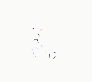 Cc1cccc(COc2nc(NC3CC3)n3ncc(/C=C4\NC(=O)NC4=O)c3n2)n1